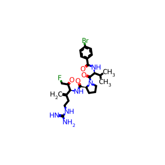 C=C(CCNC(=N)N)[C@H](NC(=O)[C@@H]1CCCN1C(=O)[C@@H](NC(=O)c1ccc(Br)cc1)C(C)C)C(=O)CF